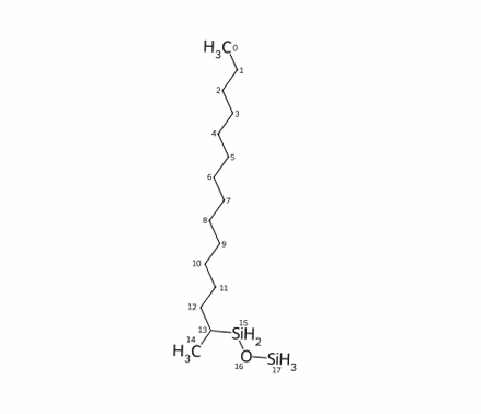 CCCCCCCCCCCCCC(C)[SiH2]O[SiH3]